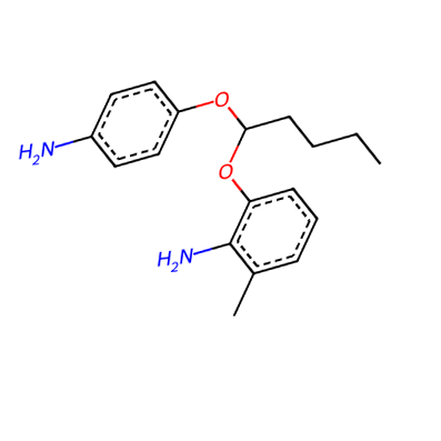 CCCCC(Oc1ccc(N)cc1)Oc1cccc(C)c1N